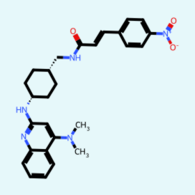 CN(C)c1cc(N[C@H]2CC[C@@H](CNC(=O)C=Cc3ccc([N+](=O)[O-])cc3)CC2)nc2ccccc12